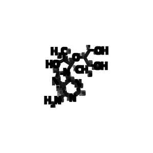 C[C@H](O)[C@@](C)(OC(CO)CO)n1cnc2c(N)ncnc21